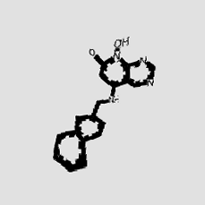 O=c1cc(NCc2ccc3ccccc3c2)c2cncnc2n1O